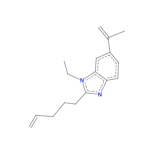 C=CCCCc1nc2ccc(C(=C)C)cc2n1CC